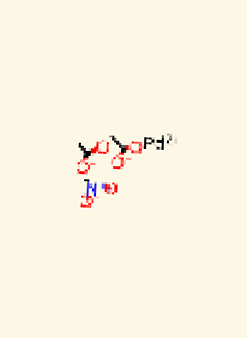 CC(=O)[O-].CC(=O)[O-].C[N+](=O)[O-].[Pd+2]